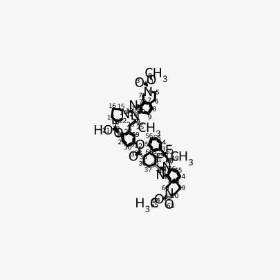 COC(=O)N1CCc2ccc3c(nc(N4CCC[C@H](C(=O)O)C4)n3[C@H](C)Cc3cccc(OC(=O)[C@H]4CC[C@H](c5nc6c7c(ccc6n5[C@@H](C)C(F)(F)c5ccccc5)CCN(C(=O)OC)C7)CC4)c3)c2C1